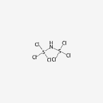 ClS(Cl)(Cl)NS(Cl)(Cl)Cl